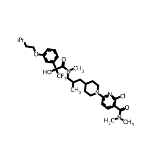 CC(C)CCOc1cccc(C(O)(C(=O)N(C)CC(C)CC2CCN(c3ccc(C(=O)N(C)C)c(Cl)n3)CC2)C(F)(F)F)c1